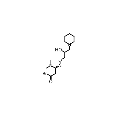 CN(C)C(CC(=O)Br)=NOCC(O)CN1CCCCC1